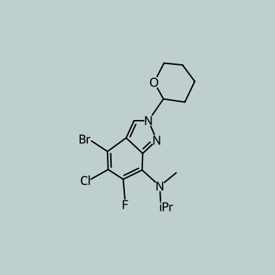 CC(C)N(C)c1c(F)c(Cl)c(Br)c2cn(C3CCCCO3)nc12